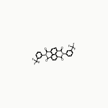 O=C1c2ccc3c4c(ccc(c24)C(=O)N1c1cccc(C(F)(F)F)c1)C(=O)N(c1cccc(C(F)(F)F)c1)C3=O